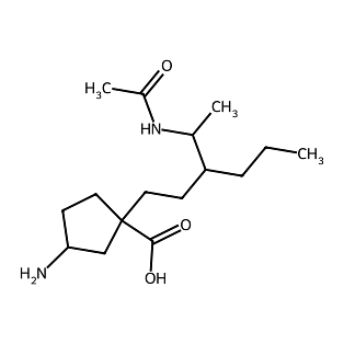 CCCC(CCC1(C(=O)O)CCC(N)C1)C(C)NC(C)=O